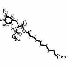 CCCCCCCCCCCCCCCCCCCCOC(=O)[C@H](Cc1cc(F)cc(F)c1)NC(=O)OC(C)(C)C